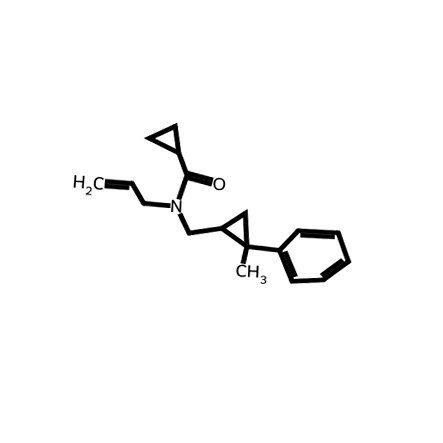 C=CCN(CC1CC1(C)c1ccccc1)C(=O)C1CC1